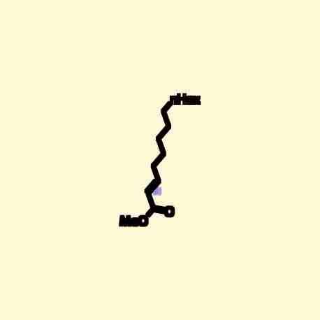 CCCCCCCCCCC/C=C/C(=O)OC